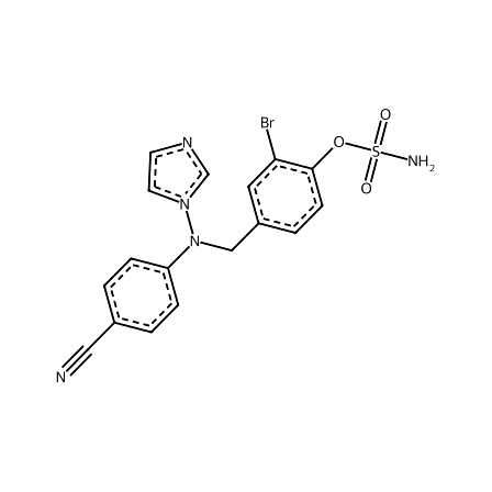 N#Cc1ccc(N(Cc2ccc(OS(N)(=O)=O)c(Br)c2)n2ccnc2)cc1